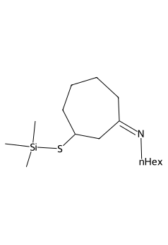 CCCCCCN=C1CCCCC(S[Si](C)(C)C)C1